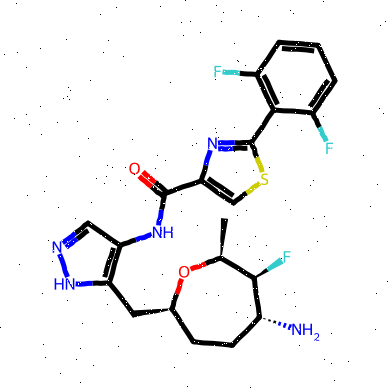 C[C@@H]1O[C@H](Cc2[nH]ncc2NC(=O)c2csc(-c3c(F)cccc3F)n2)CC[C@@H](N)[C@@H]1F